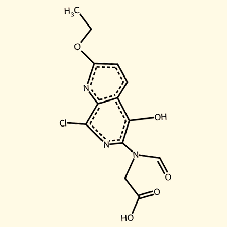 CCOc1ccc2c(O)c(N(C=O)CC(=O)O)nc(Cl)c2n1